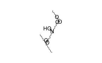 CCCCCCCCC(CCCCCCCC)OC(=O)CCCCCCCN(CCO)CCCCCCCOC(=O)C(C)COCCCCCC